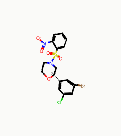 O=[N+]([O-])c1ccccc1S(=O)(=O)N1CCO[C@@H](c2cc(Cl)cc(Br)c2)C1